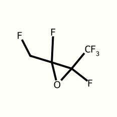 FCC1(F)OC1(F)C(F)(F)F